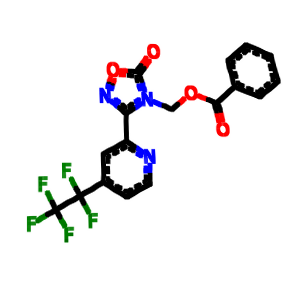 O=C(OCn1c(-c2cc(C(F)(F)C(F)(F)F)ccn2)noc1=O)c1ccccc1